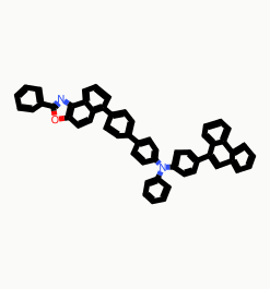 c1ccc(-c2nc3c(ccc4c(-c5ccc(-c6ccc(N(c7ccccc7)c7ccc(-c8cc9ccccc9c9ccccc89)cc7)cc6)cc5)cccc43)o2)cc1